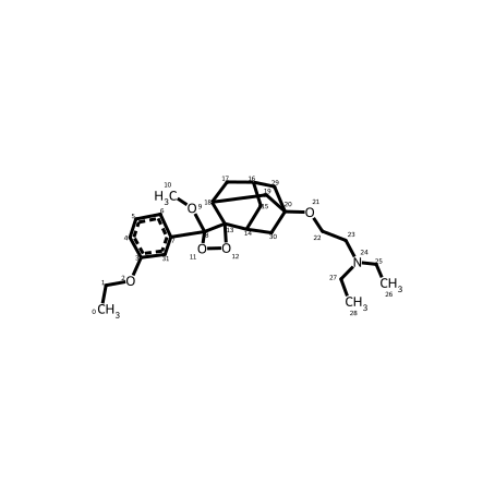 CCOc1cccc(C2(OC)OOC23C2CC4CC3CC(OCCN(CC)CC)(C4)C2)c1